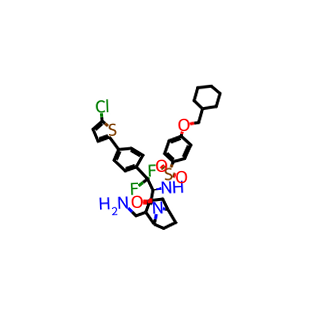 NCC1CCC2CCC1N2C(=O)[C@H](NS(=O)(=O)c1ccc(OCC2CCCCC2)cc1)C(F)(F)c1ccc(-c2ccc(Cl)s2)cc1